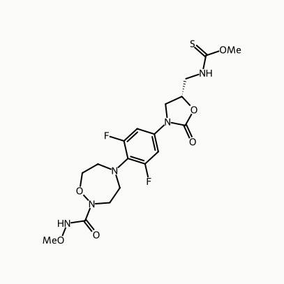 CONC(=O)N1CCN(c2c(F)cc(N3C[C@H](CNC(=S)OC)OC3=O)cc2F)CCO1